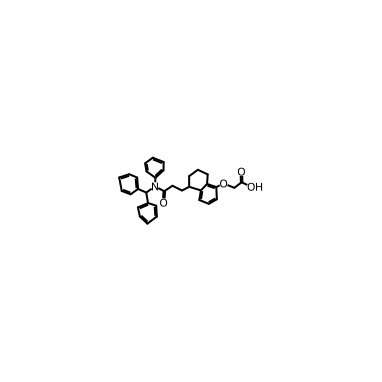 O=C(O)COc1cccc2c1CCCC2CCC(=O)N(c1ccccc1)C(c1ccccc1)c1ccccc1